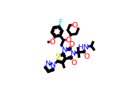 COc1ccc(F)cc1C(Cn1c(=O)n(C(C)(C)C(=O)NC(C)C)c(=O)c2c(C)c(-n3cccn3)sc21)OC1CCOCC1